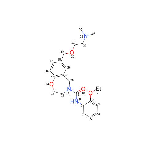 CCOc1ccccc1NC(=O)N1CCOc2ccc(COCCN(C)C)cc2C1